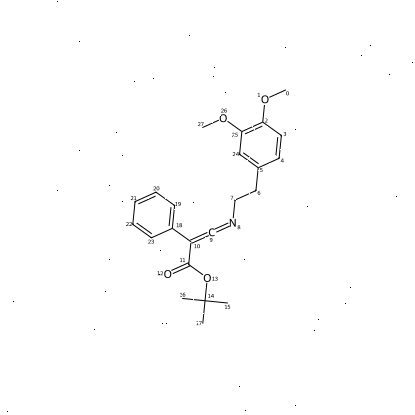 COc1ccc(CCN=C=C(C(=O)OC(C)(C)C)c2ccccc2)cc1OC